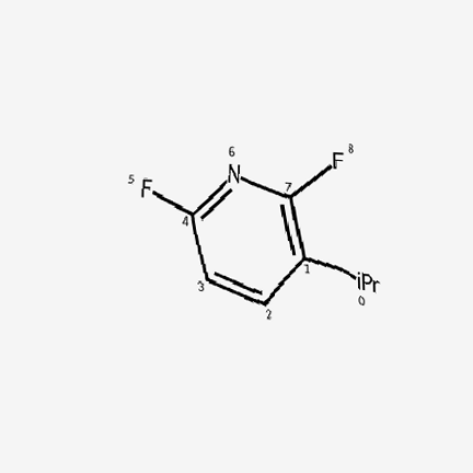 CC(C)c1ccc(F)nc1F